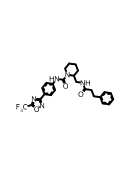 O=C(CCc1ccccc1)NCC1CCCCN1C(=O)Nc1ccc(-c2noc(C(F)(F)F)n2)cc1